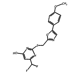 COc1ccc(-c2cnc(CSc3nc(O)cc(C(F)F)n3)o2)cc1